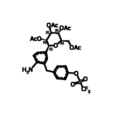 CC(=O)OC[C@H]1O[C@@H](c2ccc(N)c(Cc3ccc(OS(=O)(=O)C(F)(F)F)cc3)c2)[C@H](OC(C)=O)[C@@H](OC(C)=O)[C@@H]1OC(C)=O